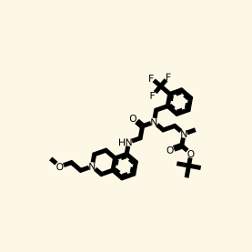 COCCN1CCc2c(cccc2NCC(=O)N(CCN(C)C(=O)OC(C)(C)C)Cc2ccccc2C(F)(F)F)C1